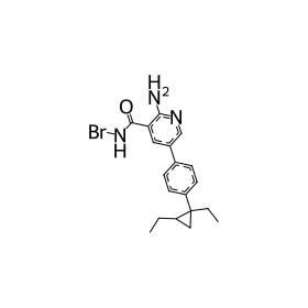 CCC1CC1(CC)c1ccc(-c2cnc(N)c(C(=O)NBr)c2)cc1